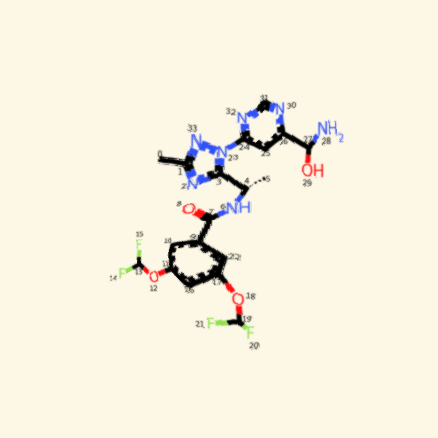 Cc1nc([C@H](C)NC(=O)c2cc(OC(F)F)cc(OC(F)F)c2)n(-c2cc(C(N)O)ncn2)n1